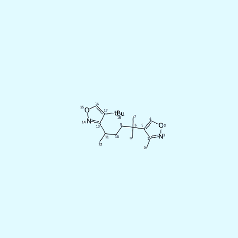 Cc1nocc1C(C)(C)CCC(C)c1nocc1C(C)(C)C